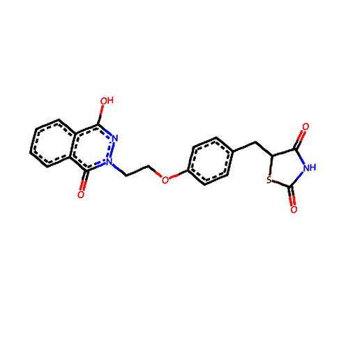 O=C1NC(=O)C(Cc2ccc(OCCn3nc(O)c4ccccc4c3=O)cc2)S1